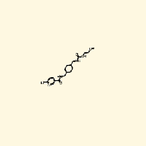 COCCNC(=O)NCC1CCC(CNC(=O)c2ccc(Cl)nc2)CC1